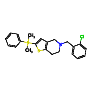 CS(C)(c1ccccc1)c1cc2c(s1)CCN(Cc1ccccc1Cl)C2